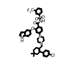 CC1(C)CCC(CN2CCN(c3ccc(C(=O)NS(=O)(=O)c4cccc(C(F)(F)F)c4)c(Oc4ccc5[nH]ccc5c4)c3)CC2)=C(c2ccc(Cl)cc2)C1